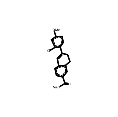 COC(=O)c1ccc2c(c1)CCC(c1ccc(OC)cc1Cl)=C2